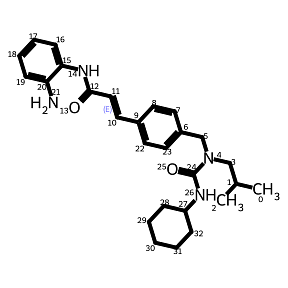 CC(C)CN(Cc1ccc(/C=C/C(=O)Nc2ccccc2N)cc1)C(=O)NC1CCCCC1